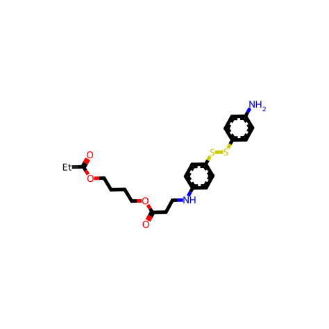 CCC(=O)OCCCCOC(=O)CCNc1ccc(SSc2ccc(N)cc2)cc1